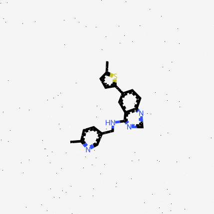 Cc1ccc(CNc2ncnc3ccc(-c4ccc(C)s4)cc23)cn1